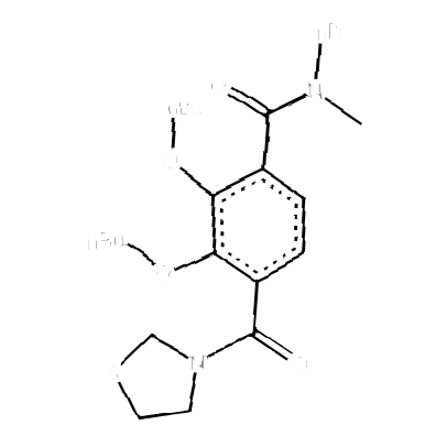 CCCCOc1c(C(=O)N(C)CCC)ccc(C(=O)N2CCSC2)c1OCCCC